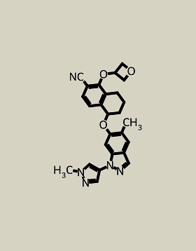 Cc1cc2cnn(-c3cnn(C)c3)c2cc1OC1CCCc2c1ccc(C#N)c2OC1COC1